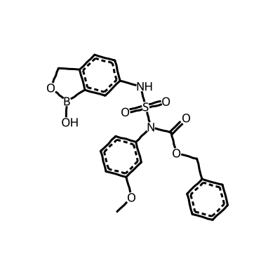 COc1cccc(N(C(=O)OCc2ccccc2)S(=O)(=O)Nc2ccc3c(c2)B(O)OC3)c1